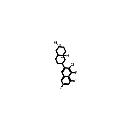 CC[C@@H]1CC[C@@H]2CC(c3cc4cc(F)cc(F)c4c(F)c3Cl)CCC2C1